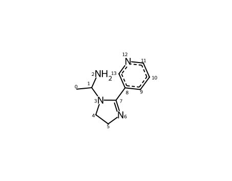 CC(N)N1CCN=C1c1cccnc1